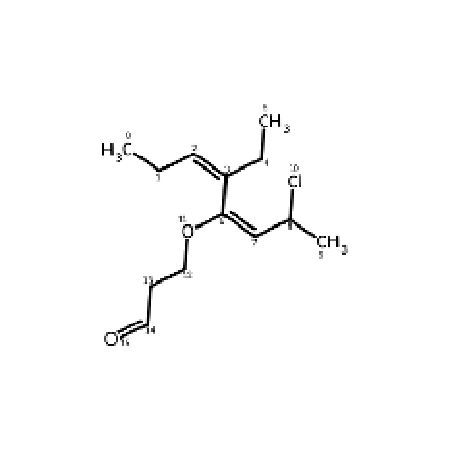 CC/C=C(CC)\C(=C/C(C)Cl)OCCC=O